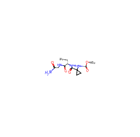 CCCCOC(=O)NC1(C(=O)N[C@@H](CC(C)C)C(=O)NCC(N)=O)CC1